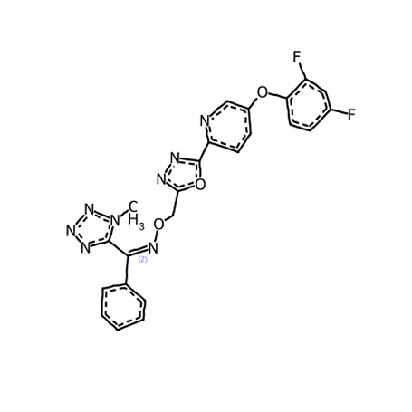 Cn1nnnc1/C(=N\OCc1nnc(-c2ccc(Oc3ccc(F)cc3F)cn2)o1)c1ccccc1